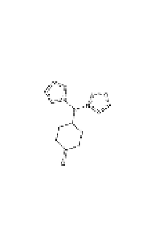 O=C1CCC(N(n2cccc2)n2cccc2)CC1